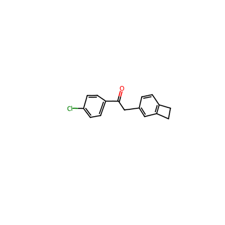 O=C(Cc1ccc2c(c1)CC2)c1ccc(Cl)cc1